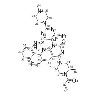 C=CC(=O)N1C[C@H](C)N(c2nc(=O)n(-c3c(C(C)C)nc(N4CCN(C)CC4)nc3C(C)C)c3nc(-c4c(N)cccc4F)c(F)cc23)C[C@H]1C